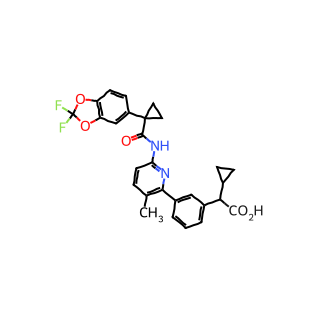 Cc1ccc(NC(=O)C2(c3ccc4c(c3)OC(F)(F)O4)CC2)nc1-c1cccc(C(C(=O)O)C2CC2)c1